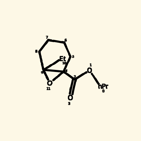 CCCOC(=O)C12CCCCC1(CC)O2